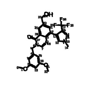 COc1cc(Cn2cnc3c(-c4cn(C)nc4C(F)(F)F)cc(CO)cc3c2=O)cc(OC)c1